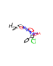 C=CC(=O)N1CC2CN(C(=O)CNc3cc(-c4ccccc4)c(Cl)cc3O)CC2C1